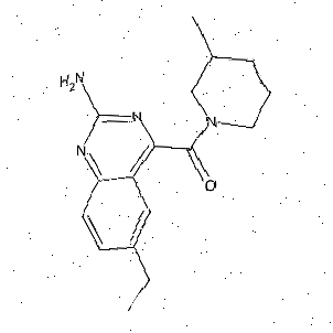 CCc1ccc2nc(N)nc(C(=O)N3CCCC(C)C3)c2c1